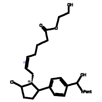 CCCCCC(O)c1ccc(C2CCC(Cl)[C@@H]2C/C=C\CCCC(=O)OCCO)cc1